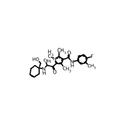 Cc1cc(NC(=O)c2c(C)c(C(=O)C(O)NC3(CO)CCCCC3)n(C)c2C)ccc1F